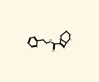 O=C(NCCc1ccccc1)C1=CC2CCCCC12